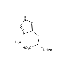 CC(=O)N[C@@H](Cc1c[nH]cn1)C(=O)O.O